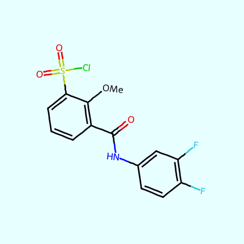 COc1c(C(=O)Nc2ccc(F)c(F)c2)cccc1S(=O)(=O)Cl